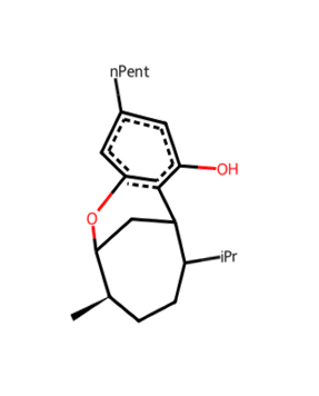 CCCCCc1cc(O)c2c(c1)OC1CC2C(C(C)C)CC[C@H]1C